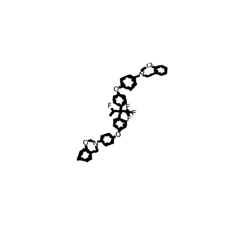 CC(F)C(c1ccc(Oc2ccc(N3COc4ccccc4C3)cc2)cc1)(c1ccc(Oc2ccc(N3COc4ccccc4C3)cc2)cc1)C(F)(F)F